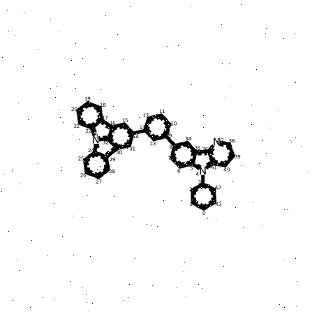 c1ccc(-n2c3ccc(-c4cccc(-c5cc6c7ccccc7n7c8ccccc8c(c5)c67)c4)cc3c3ncccc32)cc1